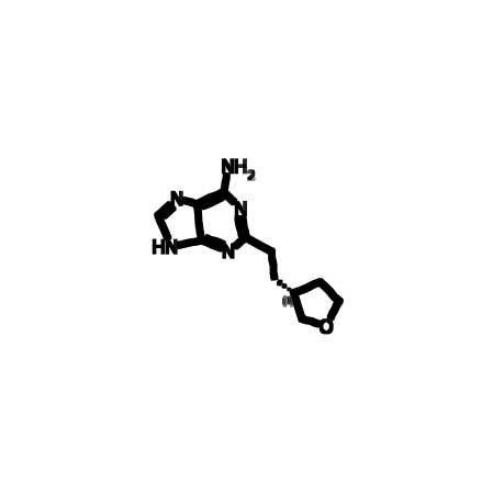 Nc1nc(CC[C@@H]2CCOC2)nc2[nH]cnc12